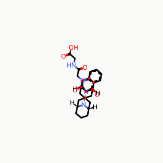 O=C(O)CNC(=O)Cn1c(=O)n([C@H]2C[C@H]3CCC[C@@H](C2)N3[C@H]2C[C@@H]3CCC[C@@H](C3)C2)c(=O)c2ccccc21